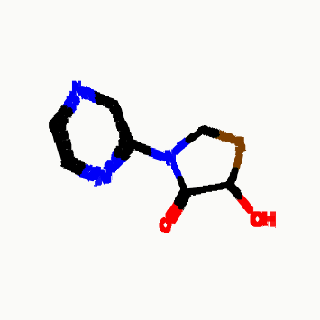 O=C1C(O)SCN1c1cnccn1